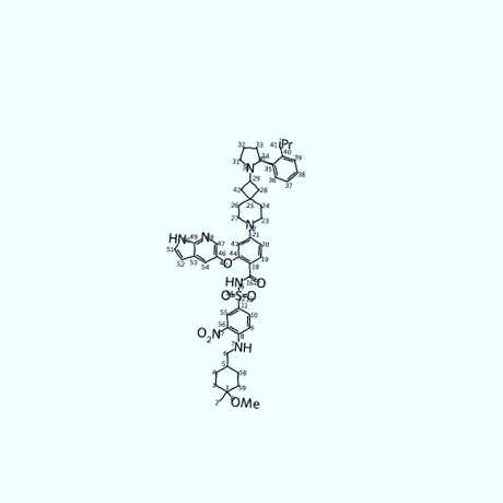 COC1(C)CCC(CNc2ccc(S(=O)(=O)NC(=O)c3ccc(N4CCC5(CC4)CC(N4CCC[C@H]4c4ccccc4C(C)C)C5)cc3Oc3cnc4[nH]ccc4c3)cc2[N+](=O)[O-])CC1